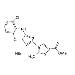 Br.COC(=S)c1cc(-c2csc(Nc3c(Cl)cccc3Cl)n2)c(C)s1